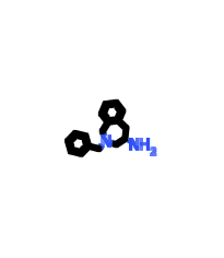 N[C@H]1Cc2ccccc2CN(Cc2ccccc2)C1